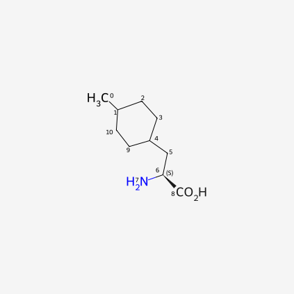 CC1CCC(C[C@H](N)C(=O)O)CC1